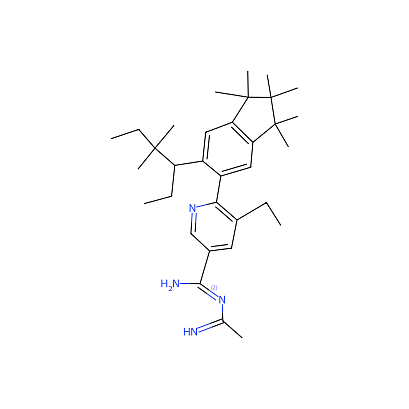 CCc1cc(/C(N)=N/C(C)=N)cnc1-c1cc2c(cc1C(CC)C(C)(C)CC)C(C)(C)C(C)(C)C2(C)C